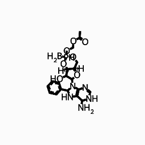 B[PH]1(OCOC(C)=O)OC[C@H]2OC(N3C4=C(NC3c3ccccc3)C(N)NC=N4)C(O)[C@@H]2O1